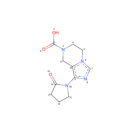 O=C(O)N1CCn2cnc(N3CCCC3=O)c2C1